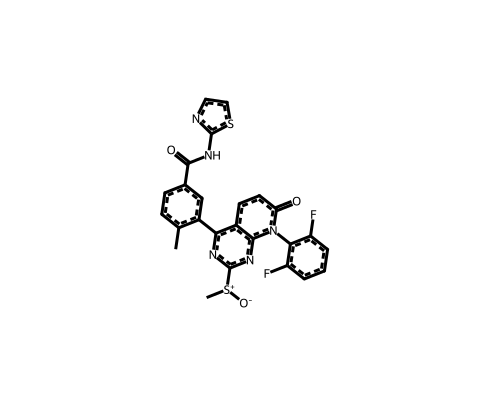 Cc1ccc(C(=O)Nc2nccs2)cc1-c1nc([S+](C)[O-])nc2c1ccc(=O)n2-c1c(F)cccc1F